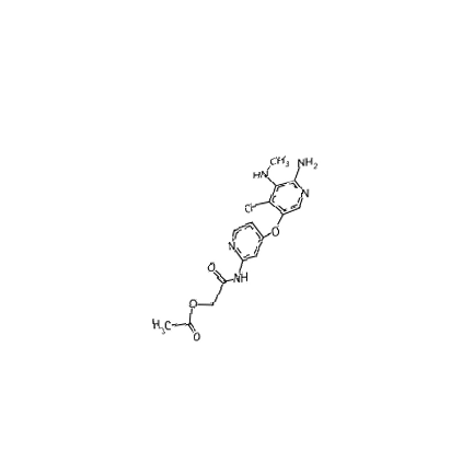 CNc1c(N)ncc(Oc2ccnc(NC(=O)COC(C)=O)c2)c1Cl